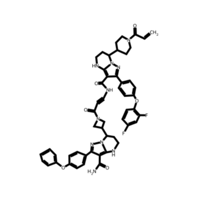 C=CC(=O)N1CCC(C2CCNc3c(C(=O)NC#CC(=O)N4CC(C5CCNc6c(C(N)=O)c(-c7ccc(Oc8ccccc8)cc7)nn65)C4)c(-c4ccc(Oc5ccc(F)cc5F)cc4)nn32)CC1